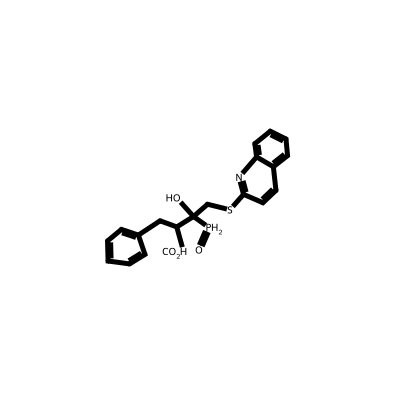 O=[PH2]C(O)(CSc1ccc2ccccc2n1)C(Cc1ccccc1)C(=O)O